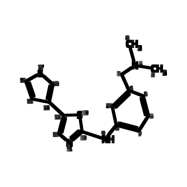 CN(C)Cc1cccc(Nc2ncc(-c3ccsc3)s2)c1